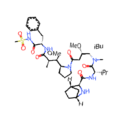 CC[C@H](C)[C@@H]([C@H](CC(=O)N1CCC[C@H]1[C@H](OC)[C@@H](C)C(=O)N[C@@H](Cc1ccccc1)C(=O)NS(C)(=O)=O)OC)N(C)C(=O)[C@@H](NC(=O)[C@H]1N[C@@H]2CC[C@H]1C2)C(C)C